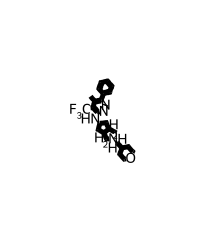 [2H]C([2H])(C1CCOCC1)N1C[C@H]2CC(Nc3nnc(-c4ccccc4)c(C)c3C(F)(F)F)C[C@H]2C1